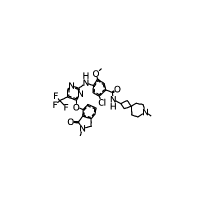 COc1cc(C(=O)NC2CC3(CCN(C)CC3)C2)c(Cl)cc1Nc1ncc(C(F)(F)F)c(Oc2cccc3c2C(=O)N(C)C3)n1